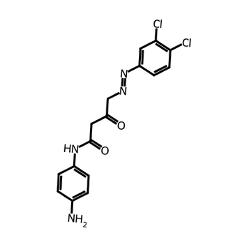 Nc1ccc(NC(=O)CC(=O)CN=Nc2ccc(Cl)c(Cl)c2)cc1